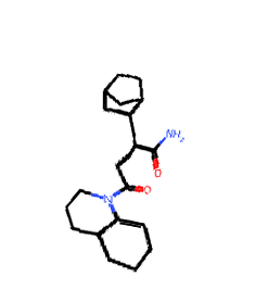 NC(=O)C(CC(=O)N1CCCC2CCCC=C21)C1CC2CCC1C2